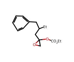 CCOC(=O)OC1(CC(CC)Cc2ccccc2)CO1